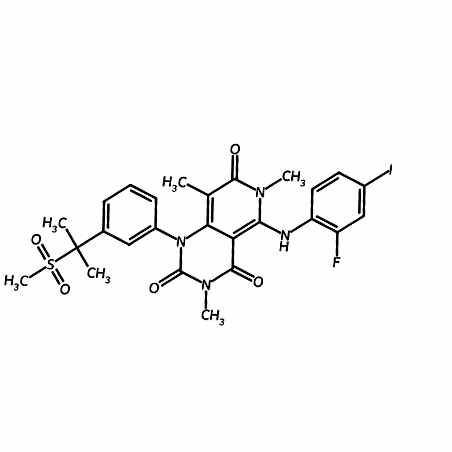 Cc1c(=O)n(C)c(Nc2ccc(I)cc2F)c2c(=O)n(C)c(=O)n(-c3cccc(C(C)(C)S(C)(=O)=O)c3)c12